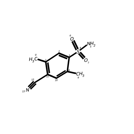 Cc1cc(S(N)(=O)=O)c(C)cc1C#N